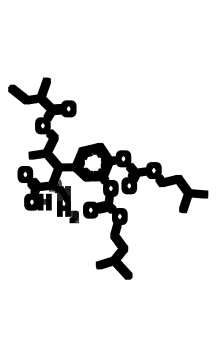 CCC(C)C(=O)OCC(C)C(c1ccc(OC(=O)OCCC(C)C)c(OC(=O)OCCC(C)C)c1)[C@H](N)C(=O)O